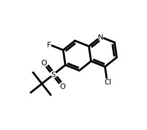 CC(C)(C)S(=O)(=O)c1cc2c(Cl)ccnc2cc1F